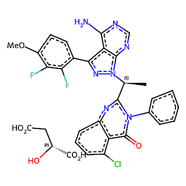 COc1ccc(-c2nn([C@@H](C)c3nc4cccc(Cl)c4c(=O)n3-c3ccccc3)c3ncnc(N)c23)c(F)c1F.O=C(O)C[C@@H](O)C(=O)O